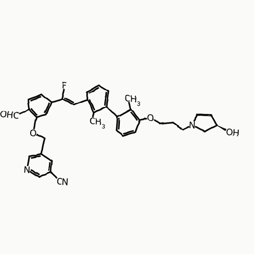 Cc1c(/C=C(\F)c2ccc(C=O)c(OCc3cncc(C#N)c3)c2)cccc1-c1cccc(OCCCN2CC[C@@H](O)C2)c1C